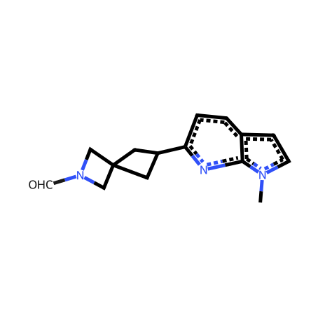 Cn1ccc2ccc(C3CC4(C3)CN(C=O)C4)nc21